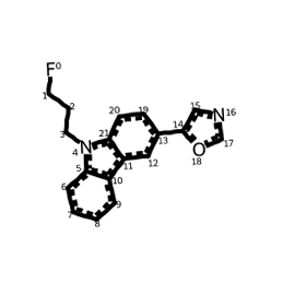 FCCCn1c2ccccc2c2cc(-c3cnco3)ccc21